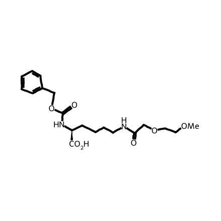 COCCOCC(=O)NCCCC[C@H](NC(=O)OCc1ccccc1)C(=O)O